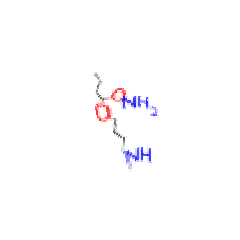 CCCC(ON)OCCCCNC